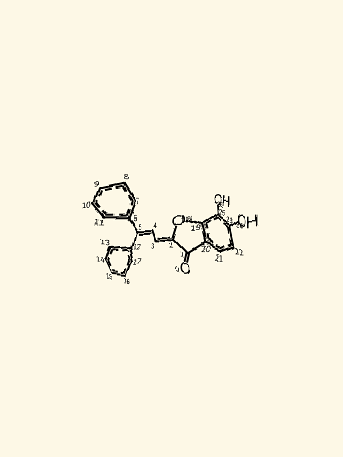 O=C1C(=CC=C(c2ccccc2)c2ccccc2)Oc2c1ccc(O)c2O